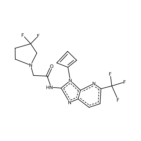 O=C(CN1CCC(F)(F)C1)Nc1nc2ccc(C(F)(F)F)nc2n1C1=CC=C1